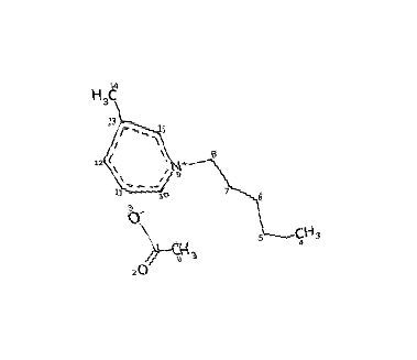 CC(=O)[O-].CCCCC[n+]1cccc(C)c1